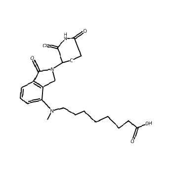 CN(CCCCCCCC(=O)O)c1cccc2c1CN(C1CCC(=O)NC1=O)C2=O